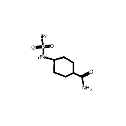 CC(C)S(=O)(=O)NC1CCC(C(N)=O)CC1